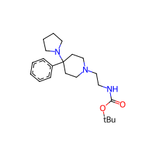 CC(C)(C)OC(=O)NCCN1CCC(c2ccccc2)(N2CCCC2)CC1